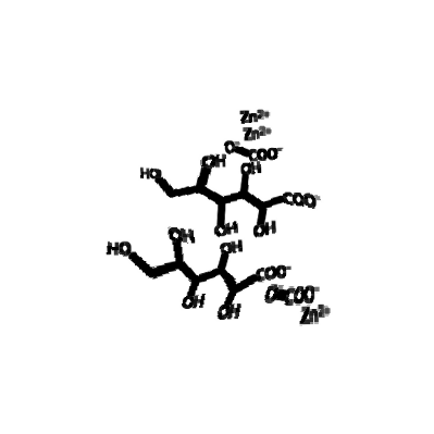 O=C([O-])C(O)C(O)C(O)C(O)CO.O=C([O-])C(O)C(O)C(O)C(O)CO.O=C([O-])[O-].O=C([O-])[O-].[Zn+2].[Zn+2].[Zn+2]